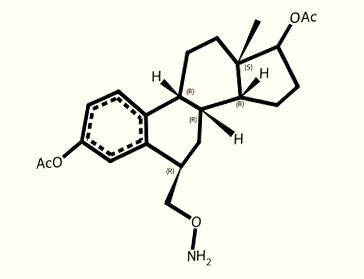 CC(=O)Oc1ccc2c(c1)[C@H](CON)C[C@H]1[C@H]3CCC(OC(C)=O)[C@@]3(C)CC[C@@H]21